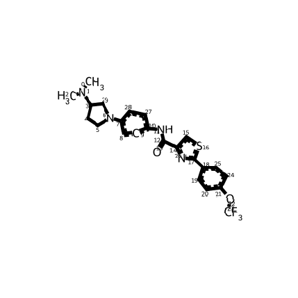 CN(C)C1CCN(c2ccc(NC(=O)c3csc(-c4ccc(OC(F)(F)F)cc4)n3)cc2)C1